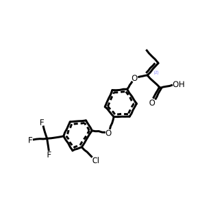 C/C=C(\Oc1ccc(Oc2ccc(C(F)(F)F)cc2Cl)cc1)C(=O)O